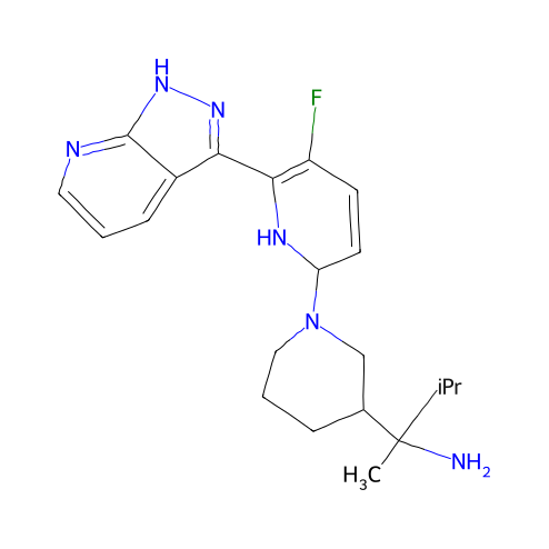 CC(C)C(C)(N)C1CCCN(C2C=CC(F)=C(c3n[nH]c4ncccc34)N2)C1